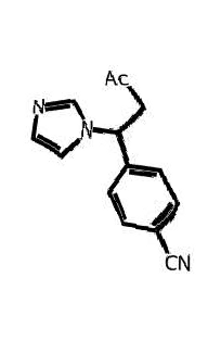 CC(=O)CC(c1ccc(C#N)cc1)n1ccnc1